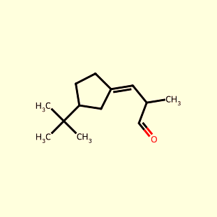 CC(C=O)C=C1CCC(C(C)(C)C)C1